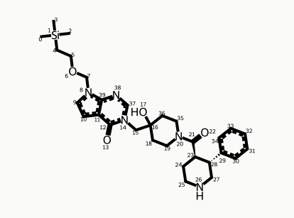 C[Si](C)(C)CCOCn1ccc2c(=O)n(CC3(O)CCN(C(=O)[C@@H]4CCNC[C@H]4c4ccccc4)CC3)cnc21